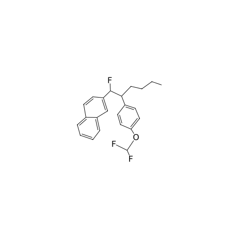 CCCCC(c1ccc(OC(F)F)cc1)C(F)c1ccc2ccccc2c1